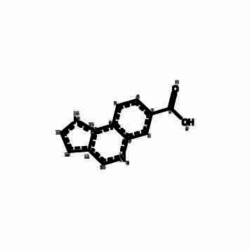 O=C(O)c1ccc2c(c1)ncc1ccnn12